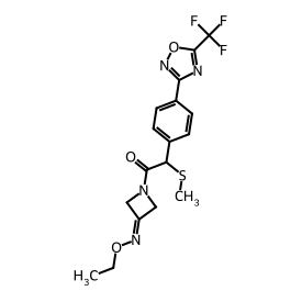 CCON=C1CN(C(=O)C(SC)c2ccc(-c3noc(C(F)(F)F)n3)cc2)C1